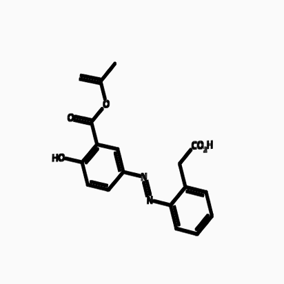 C=C(C)OC(=O)c1cc(/N=N/c2ccccc2CC(=O)O)ccc1O